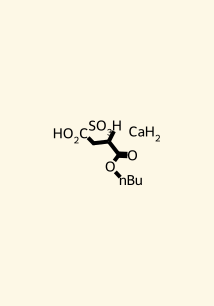 CCCCOC(=O)C(CC(=O)O)S(=O)(=O)O.[CaH2]